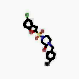 N#Cc1ccc(CN2CCN(S(=O)(=O)c3cc4cc(Cl)ccc4o3)CC2=O)cc1